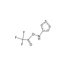 O=C(ONc1ccsc1)C(F)(F)F